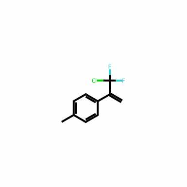 C=C(c1ccc(C)cc1)C(F)(F)Cl